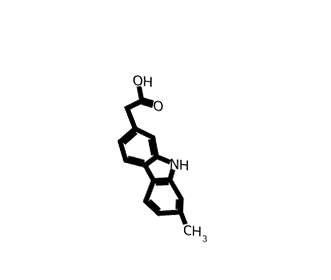 Cc1ccc2c(c1)[nH]c1cc(CC(=O)O)ccc12